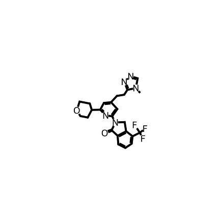 Cn1cnnc1CCc1cc(C2CCOCC2)nc(N2Cc3c(cccc3C(F)(F)F)C2=O)c1